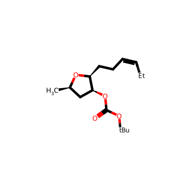 CC/C=C\CC[C@@H]1O[C@H](C)C[C@@H]1OC(=O)OC(C)(C)C